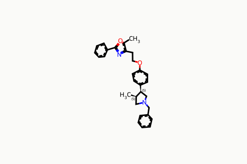 Cc1oc(-c2ccccc2)nc1CCOc1ccc([C@H]2CN(Cc3ccccc3)C[C@H]2C)cc1